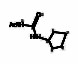 CC(=O)NC(=O)NC1CCCC1